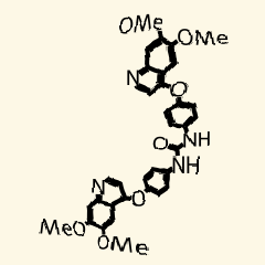 COc1cc2nccc(Oc3ccc(NC(=O)Nc4ccc(Oc5ccnc6cc(OC)c(OC)cc56)cc4)cc3)c2cc1OC